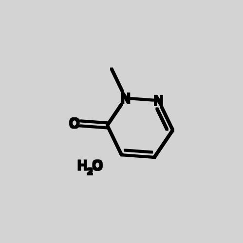 Cn1ncccc1=O.O